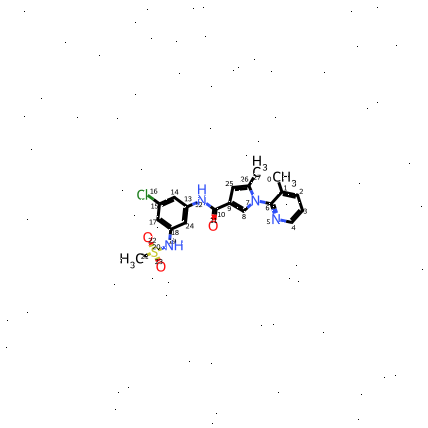 Cc1cccnc1-n1cc(C(=O)Nc2cc(Cl)cc(NS(C)(=O)=O)c2)cc1C